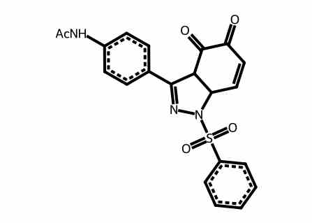 CC(=O)Nc1ccc(C2=NN(S(=O)(=O)c3ccccc3)C3C=CC(=O)C(=O)C23)cc1